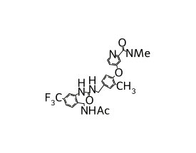 CNC(=O)c1cc(Oc2ccc(CNC(=O)Nc3cc(C(F)(F)F)ccc3CNC(C)=O)cc2C)ccn1